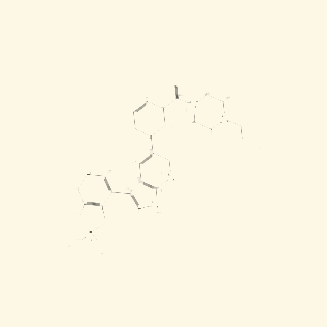 CCN1CCN(C(=O)C2C=CCC(C3=Cc4c(C5=CCCC6=C5OC(F)(F)O6)c[nH]c4NC3)C2)CC1